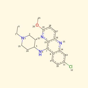 CCN1CCC(Nc2c3ccc(Cl)cc3nc3ccc(OC)nc23)CC1